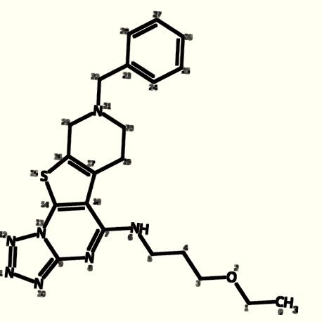 CCOCCCNc1nc2nnnn2c2sc3c(c12)CCN(Cc1ccccc1)C3